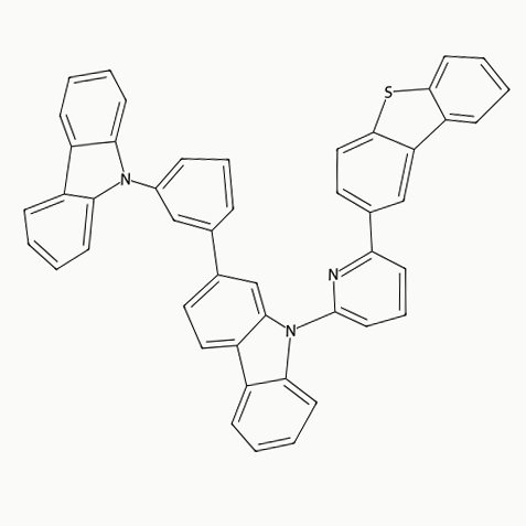 c1cc(-c2ccc3c4ccccc4n(-c4cccc(-c5ccc6sc7ccccc7c6c5)n4)c3c2)cc(-n2c3ccccc3c3ccccc32)c1